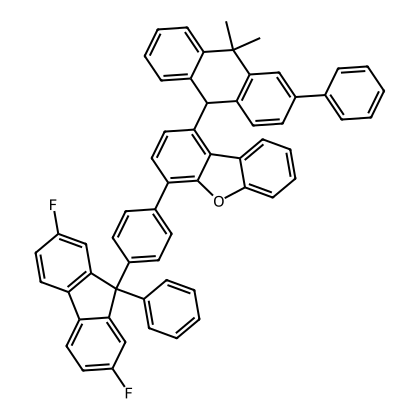 CC1(C)c2ccccc2C(c2ccc(-c3ccc(C4(c5ccccc5)c5cc(F)ccc5-c5ccc(F)cc54)cc3)c3oc4ccccc4c23)c2ccc(-c3ccccc3)cc21